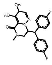 CN1CC(C(c2ccc(F)cc2)c2ccc(F)cc2)N2N=CC(O)C(O)=C2C1=O